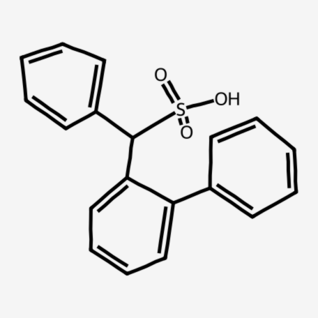 O=S(=O)(O)C(c1ccccc1)c1ccccc1-c1ccccc1